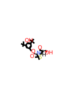 CC(C)(C)c1cc(COC(=O)[C@@H]2N3C(=O)[C@@H](CO)[C@H]3SC2(C)C)cc(C(C)(C)C)c1O